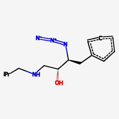 CC(C)CNC[C@@H](O)[C@H](Cc1ccccc1)N=[N+]=[N-]